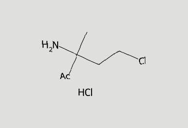 CC(=O)C(C)(N)CCCl.Cl